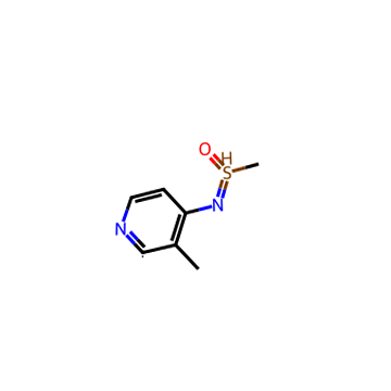 Cc1[c]nccc1/N=[SH](/C)=O